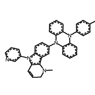 Cc1ccc(N2c3ccccc3N(c3ccc4c(c3)c3c(n4-c4cccnc4)C=CCN3C)c3ccccc32)cc1